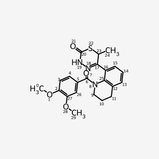 COc1ccc(C(=O)N2CCCc3cccc(C4=NNC(=O)SC4C)c32)cc1OC